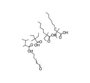 CC(C)C(C)C(=O)O.CCC(C)(CC)C(=O)O.CCCC=CC=O.CCCCCC(C)(CC)C(=O)O.CCCCCCCC(C)(CC)C(=O)O